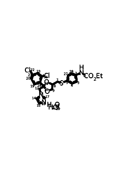 CCOC(=O)Nc1ccc(SCC2COC(Cn3ccnc3)(c3ccc(Cl)cc3Cl)O2)cc1.Cl.O